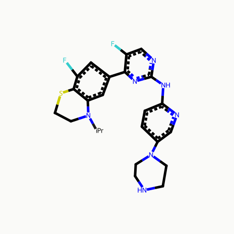 CC(C)N1CCSc2c(F)cc(-c3nc(Nc4ccc(N5CCNCC5)cn4)ncc3F)cc21